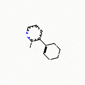 O=C(O)c1ncccc1C1=CCCCC1